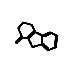 O=C1CCCC2=C1Cc1ccccc12